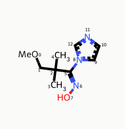 COCC(C)(C)C(=NO)n1ccnc1